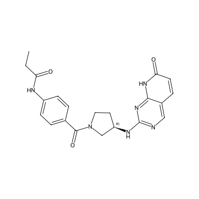 CCC(=O)Nc1ccc(C(=O)N2CC[C@@H](Nc3ncc4ccc(=O)[nH]c4n3)C2)cc1